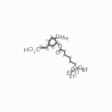 CCO[Si](CCCCCC(=O)Oc1cc(/C=C/C(=O)O)ccc1OC)(OCC)OCC